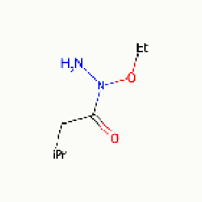 CCON(N)C(=O)CC(C)C